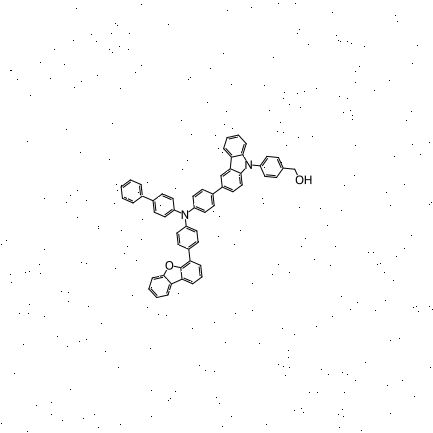 OCc1ccc(-n2c3ccccc3c3cc(-c4ccc(N(c5ccc(-c6ccccc6)cc5)c5ccc(-c6cccc7c6oc6ccccc67)cc5)cc4)ccc32)cc1